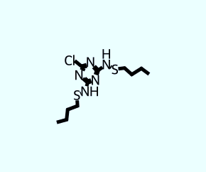 CCCCSNc1nc(Cl)nc(NSCCCC)n1